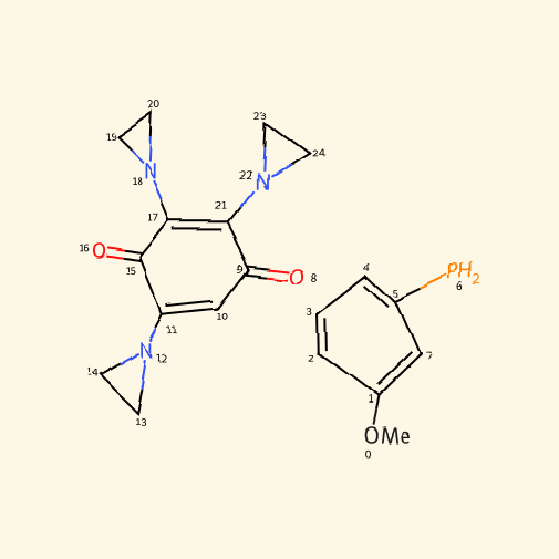 COc1cccc(P)c1.O=C1C=C(N2CC2)C(=O)C(N2CC2)=C1N1CC1